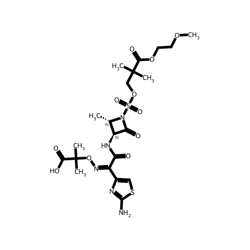 COCCOC(=O)C(C)(C)COS(=O)(=O)N1C(=O)[C@@H](NC(=O)C(=NOC(C)(C)C(=O)O)c2csc(N)n2)[C@@H]1C